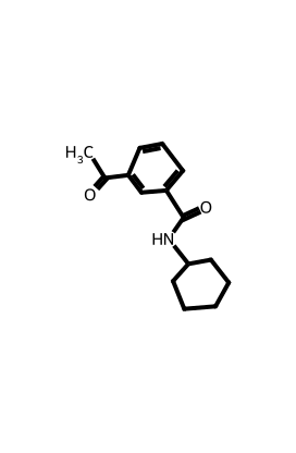 CC(=O)c1cccc(C(=O)NC2CCCCC2)c1